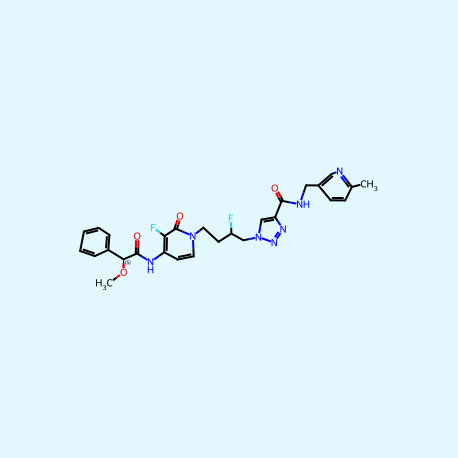 CO[C@H](C(=O)Nc1ccn(CCC(F)Cn2cc(C(=O)NCc3ccc(C)nc3)nn2)c(=O)c1F)c1ccccc1